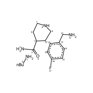 CCCCN.NC(=O)C1CCNCC1.NCc1ccc(F)cc1